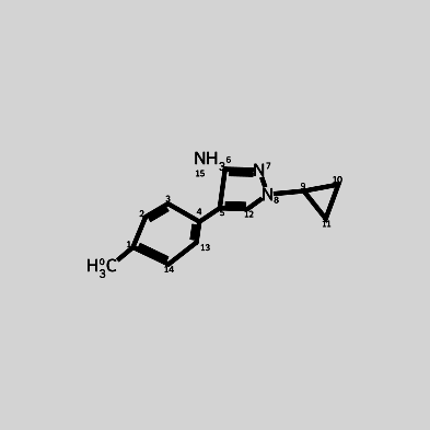 Cc1ccc(-c2cnn(C3CC3)c2)cc1.N